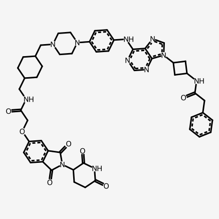 O=C(COc1ccc2c(c1)C(=O)N(C1CCC(=O)NC1=O)C2=O)NCC1CCC(CN2CCN(c3ccc(Nc4ncnc5c4ncn5C4CC(NC(=O)Cc5ccccc5)C4)cc3)CC2)CC1